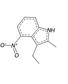 CCc1c(C)[nH]c2cccc([N+](=O)[O-])c12